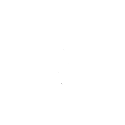 COc1ncc(-c2nc(Cl)ncc2Cl)cn1